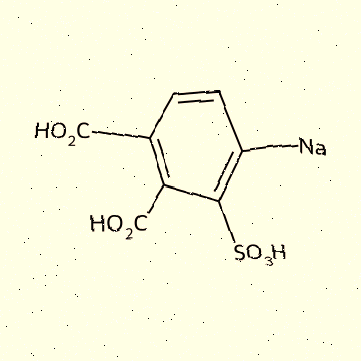 O=C(O)c1cc[c]([Na])c(S(=O)(=O)O)c1C(=O)O